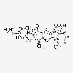 Cn1c(NC(=O)CN)nc2c1c(=O)n(Cc1cc3c(Cl)cccc3n1C(=O)O)c(=O)n2C